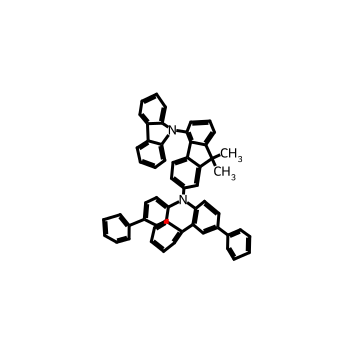 CC1(C)c2cc(N(C3=CC=C(c4ccccc4)CC3)c3ccc(-c4ccccc4)cc3-c3ccccc3)ccc2-c2c(-n3c4ccccc4c4ccccc43)cccc21